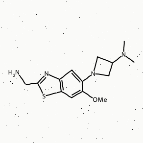 COc1cc2sc(CN)nc2cc1N1CC(N(C)C)C1